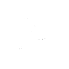 C/C=N\S/C(=C\C)C(C)C